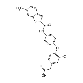 Cc1ccc2nc(C(=O)Nc3ccc(Oc4ccc(CC(=O)O)cc4Cl)cc3)cn2c1